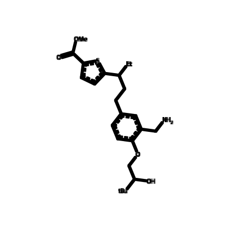 CCC(CCc1ccc(OCC(O)C(C)(C)C)c(CN)c1)c1ccc(C(=O)OC)s1